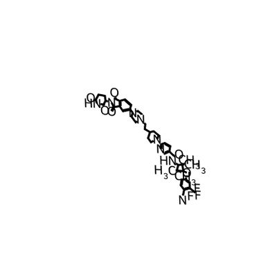 CC1(C)C(NC(=O)c2ccc(N3CCC(CCN4CCN(c5ccc6c(c5)C(=O)N(C5CCC(=O)NC5=O)C6=O)CC4)CC3)nc2)C(C)(C)C1Oc1ccc(C#N)c(C(F)(F)F)c1